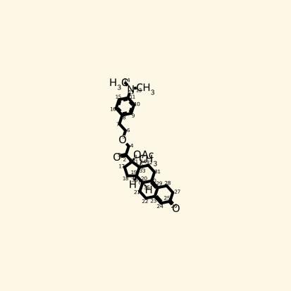 CC(=O)O[C@]1(C(=O)COCCc2ccc(N(C)C)cc2)CC[C@H]2[C@@H]3CCC4=CC(=O)CCC4=C3CC[C@@]21C